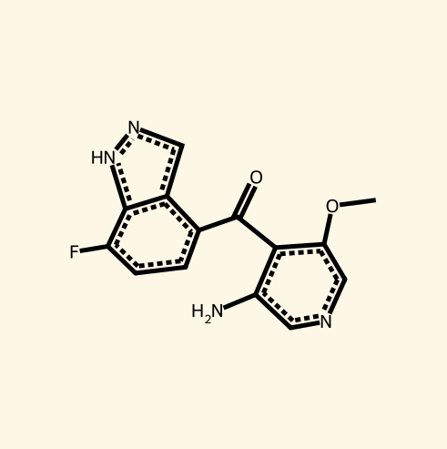 COc1cncc(N)c1C(=O)c1ccc(F)c2[nH]ncc12